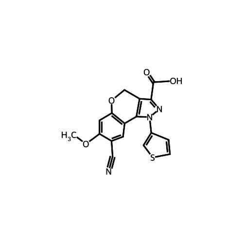 COc1cc2c(cc1C#N)-c1c(c(C(=O)O)nn1-c1ccsc1)CO2